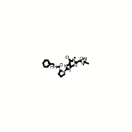 Cc1noc(-c2nc3sc(N4CCC[C@@H]4C(=O)NCc4ccccc4)nc3c(=O)n2C)n1